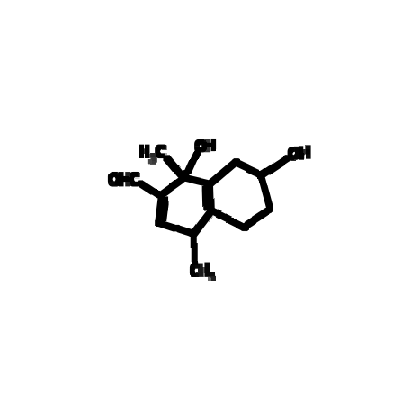 CC1C=C(C=O)C(C)(O)C2=C1CCC(O)C2